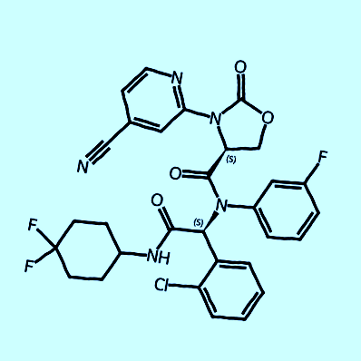 N#Cc1ccnc(N2C(=O)OC[C@H]2C(=O)N(c2cccc(F)c2)[C@H](C(=O)NC2CCC(F)(F)CC2)c2ccccc2Cl)c1